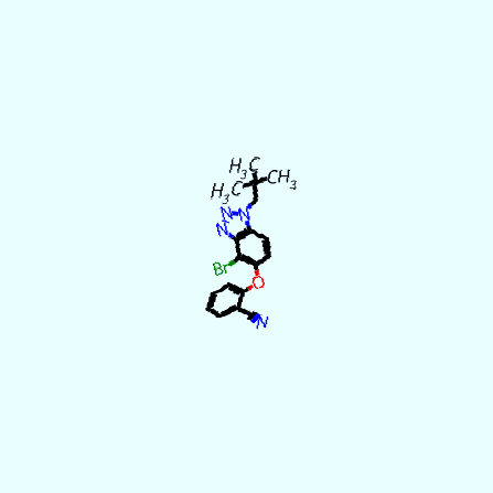 CC(C)(C)Cn1nnc2c(Br)c(Oc3ccccc3C#N)ccc21